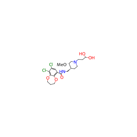 CO[C@@H]1CN(CCC(O)O)CC[C@H]1CNC(=O)c1cc(Cl)c(Cl)c2c1OCCCO2